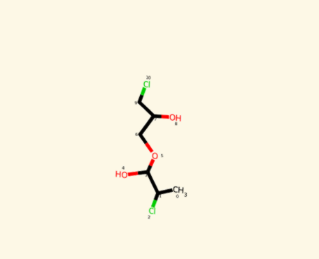 CC(Cl)C(O)OCC(O)CCl